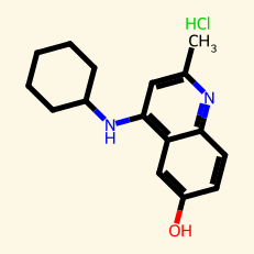 Cc1cc(NC2CCCCC2)c2cc(O)ccc2n1.Cl